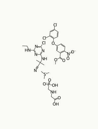 CCNc1nc(Cl)nc(NC(C)(C)C#N)n1.COC(=O)c1cc(Oc2ccc(Cl)cc2Cl)ccc1[N+](=O)[O-].C[S+](C)C.O=C(O)CNCP(=O)([O-])O